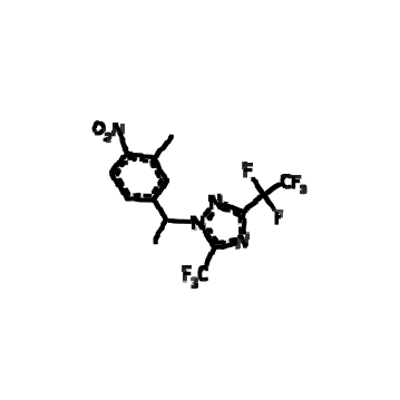 Cc1cc(C(C)n2nc(C(F)(F)C(F)(F)F)nc2C(F)(F)F)ccc1[N+](=O)[O-]